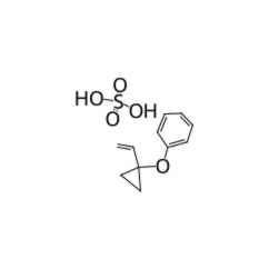 C=CC1(Oc2ccccc2)CC1.O=S(=O)(O)O